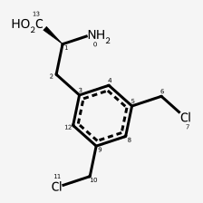 N[C@@H](Cc1cc(CCl)cc(CCl)c1)C(=O)O